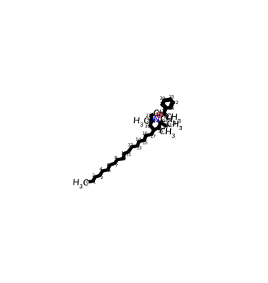 CCCCCCCCCCCCCCCCCCC1CC(C)(CC)N(OC(C)c2ccccc2)C(C)(CC)C1C